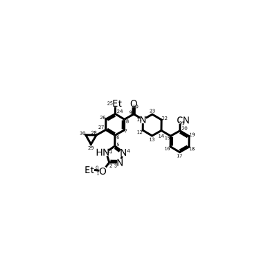 CCOc1nnc(-c2cc(C(=O)N3CCC(c4ccccc4C#N)CC3)c(CC)cc2C2CC2)[nH]1